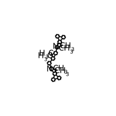 CC1(C)c2cc(-c3cccc(-c4cc5c(cn4)-c4cc6c7ccccc7c7ccccc7c6cc4C5(C)C)c3)ccc2-c2ccc(-c3cnc4c(c3)C(C)(C)c3cc5c6ccccc6c6ccccc6c5cc3-4)cc21